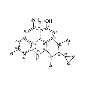 CC(=O)N1c2cc(O)c(C(N)=O)cc2C(Nc2nccc(C)n2)[C@@H](C)C1C1CC1